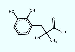 CC(N)(Cc1cccc(O)c1O)C(=O)O